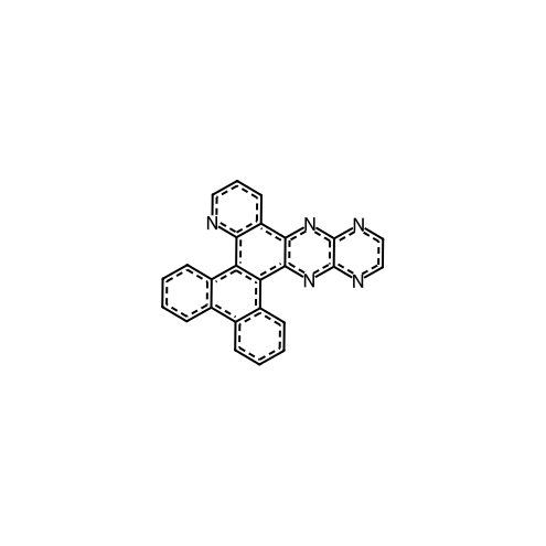 c1ccc2c(c1)c1ccccc1c1c3nc4nccnc4nc3c3cccnc3c21